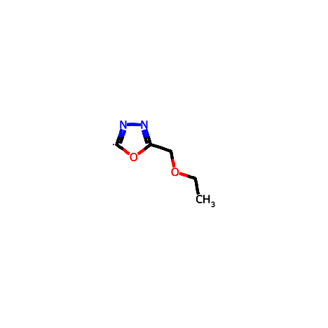 CCOCc1nn[c]o1